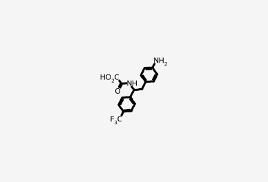 Nc1ccc(CC(NC(=O)C(=O)O)c2ccc(C(F)(F)F)cc2)cc1